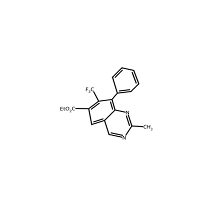 CCOC(=O)c1cc2cnc(C)nc2c(-c2ccccc2)c1C(F)(F)F